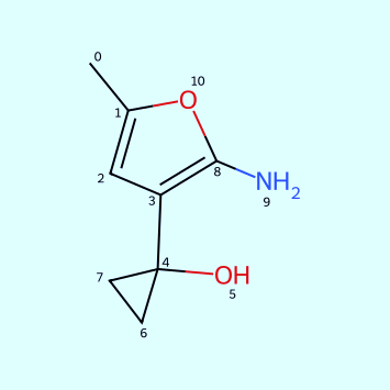 Cc1cc(C2(O)CC2)c(N)o1